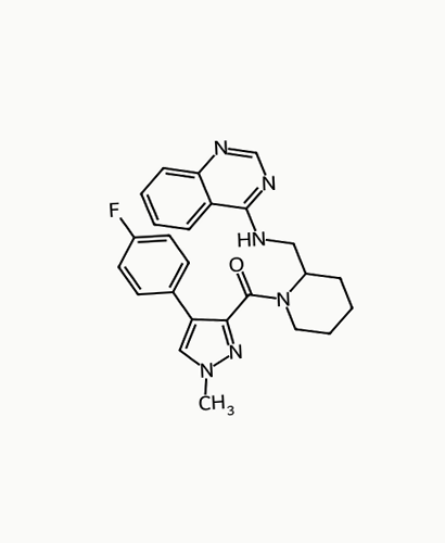 Cn1cc(-c2ccc(F)cc2)c(C(=O)N2CCCCC2CNc2ncnc3ccccc23)n1